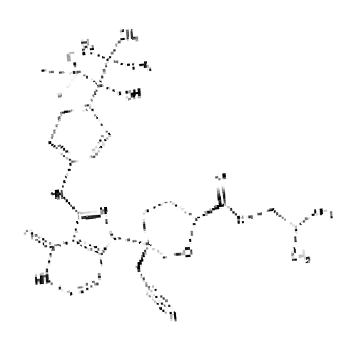 CC(C)COC(=O)[C@@H]1CC[C@@](CC#N)(n2nc(Nc3ccc(C(O)(C(C)(C)C)C(F)(F)F)cc3)c3c(=O)[nH]ccc32)CO1